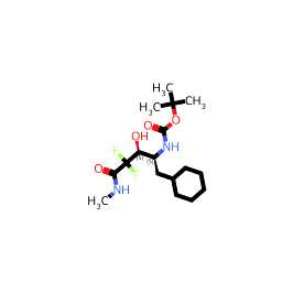 CNC(=O)C(F)(F)[C@@H](O)[C@H](CC1CCCCC1)NC(=O)OC(C)(C)C